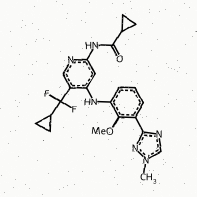 COc1c(Nc2cc(NC(=O)C3CC3)ncc2C(F)(F)C2CC2)cccc1-c1ncn(C)n1